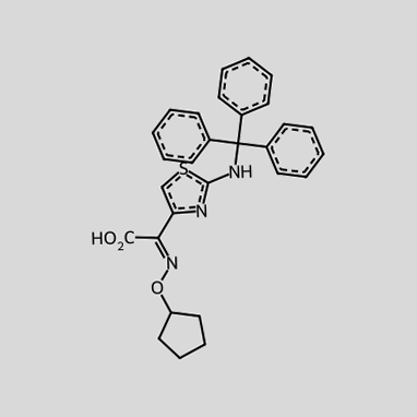 O=C(O)/C(=N\OC1CCCC1)c1csc(NC(c2ccccc2)(c2ccccc2)c2ccccc2)n1